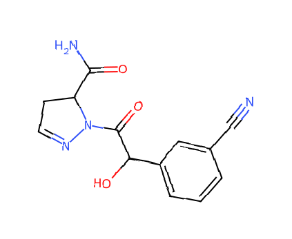 N#Cc1cccc(C(O)C(=O)N2N=CCC2C(N)=O)c1